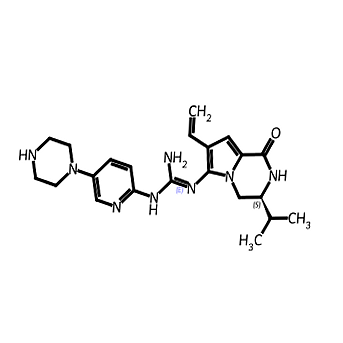 C=Cc1cc2n(c1/N=C(\N)Nc1ccc(N3CCNCC3)cn1)C[C@H](C(C)C)NC2=O